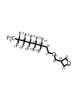 FC(F)(F)C(F)(F)C(F)(F)C(F)(F)C(F)(F)C(F)(F)CCOCC1COC1